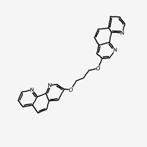 c1cnc2c(c1)ccc1cc(OCCCOc3cnc4c(ccc5cccnc54)c3)cnc12